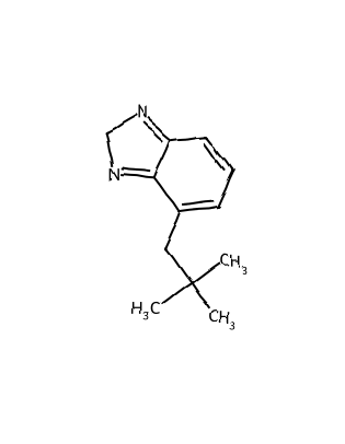 CC(C)(C)Cc1cccc2c1=NCN=2